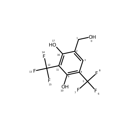 OCc1cc(C(F)(F)F)c(O)c(C(F)(F)F)c1O